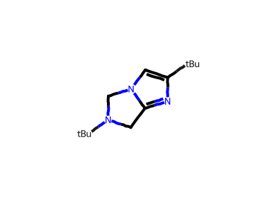 CC(C)(C)c1cn2c(n1)CN(C(C)(C)C)C2